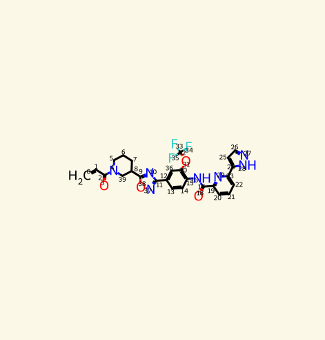 C=CC(=O)N1CCCC(c2nc(-c3ccc(NC(=O)c4cccc(-c5ccn[nH]5)n4)c(OC(F)(F)F)c3)no2)C1